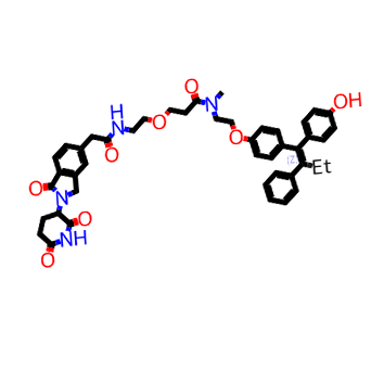 CC/C(=C(\c1ccc(O)cc1)c1ccc(OCCN(C)C(=O)CCOCCNC(=O)Cc2ccc3c(c2)CN(C2CCC(=O)NC2=O)C3=O)cc1)c1ccccc1